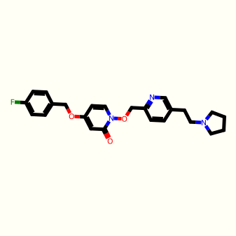 O=c1cc(OCc2ccc(F)cc2)ccn1OCc1ccc(CCN2CCCC2)cn1